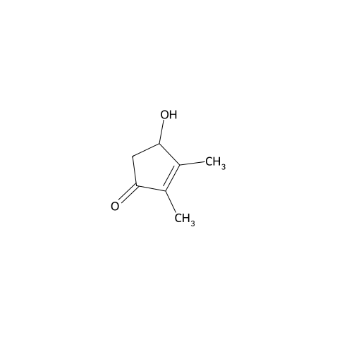 CC1=C(C)C(O)CC1=O